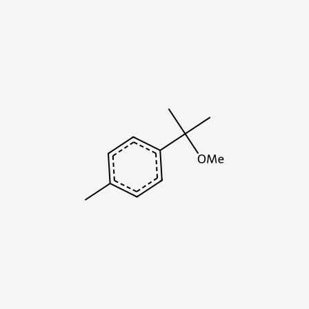 COC(C)(C)c1ccc(C)cc1